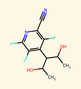 CC(O)C(c1c(F)c(F)nc(C#N)c1F)C(C)O